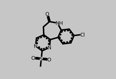 CS(=O)(=O)c1ncc2c(n1)-c1ccc(Cl)cc1NC(=O)C2